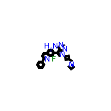 Nc1ncnc2c1c(-c1ccc3ccc(-c4ccccc4)nc3c1F)cn2C1CC(CN2CCC2)C1